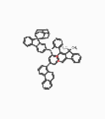 CC1(C)c2ccccc2-c2cccc(-c3ccccc3N(c3cccc(-c4cccc5c4ccc4ccccc45)c3)c3ccc4c(c3)C3(c5ccccc5-4)C4CC5CC(C4)CC3C5)c21